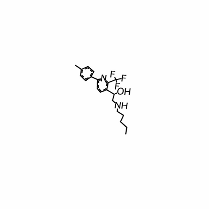 CCCCCNC[C@H](O)c1ccc(-c2ccc(C)cc2)nc1C(F)(F)F